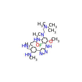 C=CC(=O)Nc1c(N(C)CCN(C)C(C)C)cc(OC)c(Nc2cc(-c3ccc(C=N)c(NC)c3)ncn2)c1F